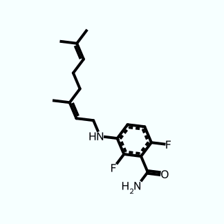 CC(C)=CCCC(C)=CCNc1ccc(F)c(C(N)=O)c1F